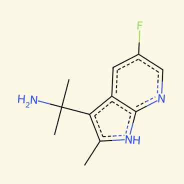 Cc1[nH]c2ncc(F)cc2c1C(C)(C)N